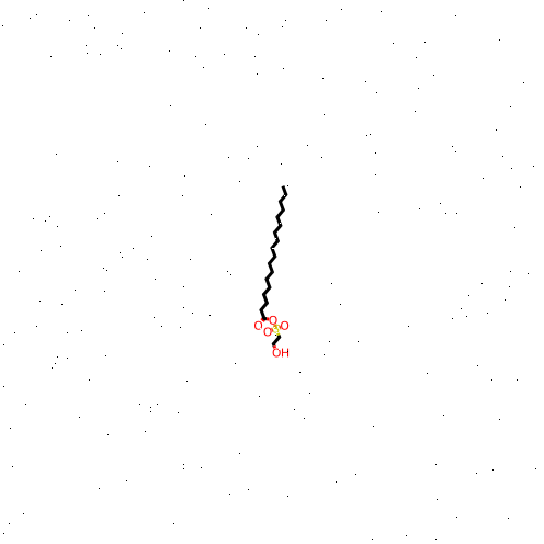 CCCCCCCCCCCCCCCCCC(=O)OS(=O)(=O)CCO